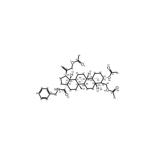 C=C(COC(C)=O)[C@@H]1CC[C@]2(C(=O)NCc3ccccc3)CC[C@]3(C)C(CC[C@@H]4[C@@]5(C)CC[C@H](OC(C)=O)[C@@](C)(COC(C)=O)[C@@H]5CC[C@]43C)[C@@H]12